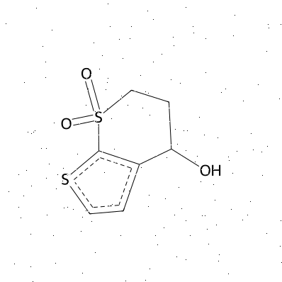 O=S1(=O)CCC(O)c2ccsc21